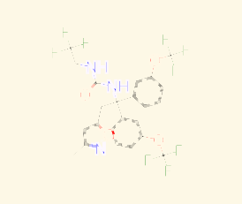 Cc1cc(CC(NC(=O)NCC(F)(F)F)(c2cccc(OC(F)(F)F)c2)c2cccc(OC(F)(F)F)c2)on1